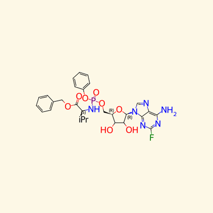 CC(C)[C@H](NP(=O)(OC[C@H]1O[C@@H](n2cnc3c(N)nc(F)nc32)C(O)C1O)Oc1ccccc1)C(=O)OCc1ccccc1